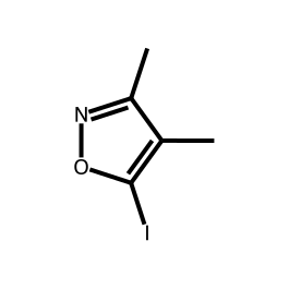 Cc1noc(I)c1C